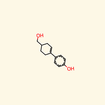 OCC1CC=C(c2ccc(O)cc2)CC1